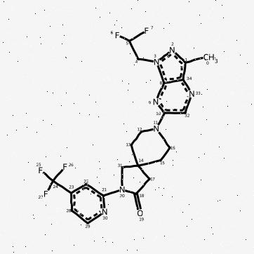 Cc1nn(CC(F)F)c2nc(N3CCC4(CC3)CC(=O)N(c3cc(C(F)(F)F)ccn3)C4)cnc12